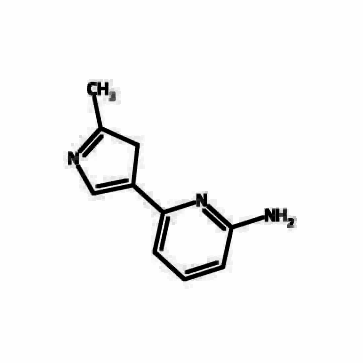 CC1=NC=C(c2cccc(N)n2)C1